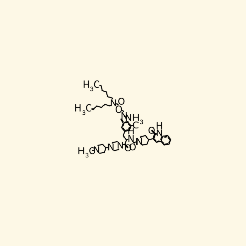 CCCCCCN(CCCCCC)C(=O)OCn1cc2cc(CC(NC(=O)N3CCC(c4cc5ccccc5[nH]c4=O)CC3)C(=O)N3CCN(C4CCN(C)CC4)CC3)cc(C)c2n1